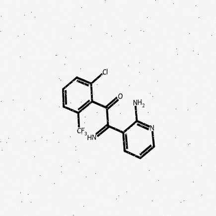 N=C(C(=O)c1c(Cl)cccc1C(F)(F)F)c1cccnc1N